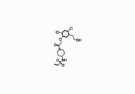 C=CS(=O)(=O)NC1CCN(C(=O)COc2cc(CCO)c(Cl)cc2Cl)CC1